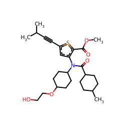 COC(=O)c1sc(C#CC(C)C)cc1N(C(=O)C1CCC(C)CC1)C1CCC(OCCO)CC1